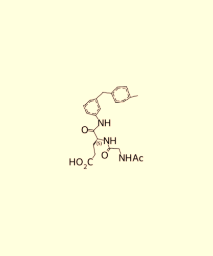 CC(=O)NCC(=O)N[C@@H](CCC(=O)O)C(=O)Nc1cccc(Cc2ccc(C)cc2)c1